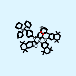 CC(C)(C)c1cc2c3c(c1)N(c1ccc([Si](c4ccccc4)(c4ccccc4)c4ccccc4)cc1)c1c(oc4cc5c(cc14)C(C)(C)CCC5(C)C)B3c1cc3c(cc1N2c1cc2c(cc1-c1ccccc1)C(C)(C)CCC2(C)C)C(C)(C)CCC3(C)C